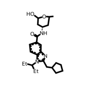 CCC(CC)n1c(CC2CCCC2)nc2cc(C(=O)N[C@H]3CC(C)OC(O)C3)ccc21